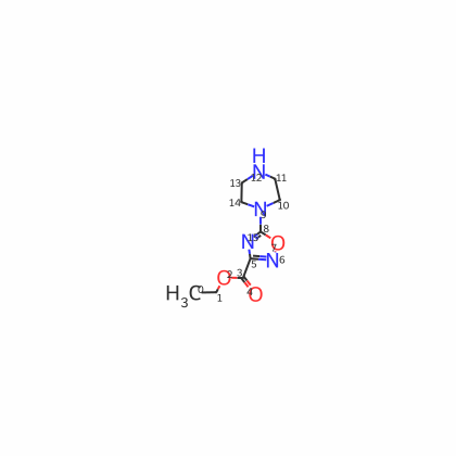 CCOC(=O)c1noc(N2CCNCC2)n1